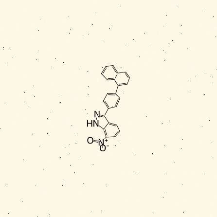 O=[N+]([O-])c1cccc2c(-c3ccc(-c4cccc5ccccc45)cc3)n[nH]c12